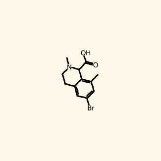 Cc1cc(Br)cc2c1C(C(=O)O)N(C)CC2